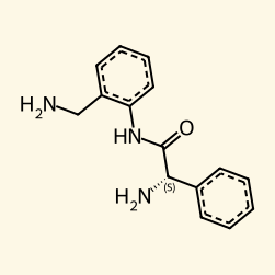 NCc1ccccc1NC(=O)[C@@H](N)c1ccccc1